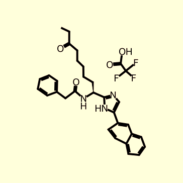 CCC(=O)CCCCC[C@H](NC(=O)Cc1ccccc1)c1ncc(-c2ccc3ccccc3c2)[nH]1.O=C(O)C(F)(F)F